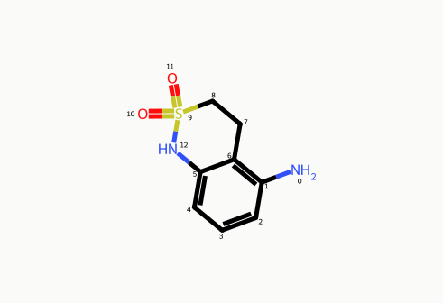 Nc1cccc2c1CCS(=O)(=O)N2